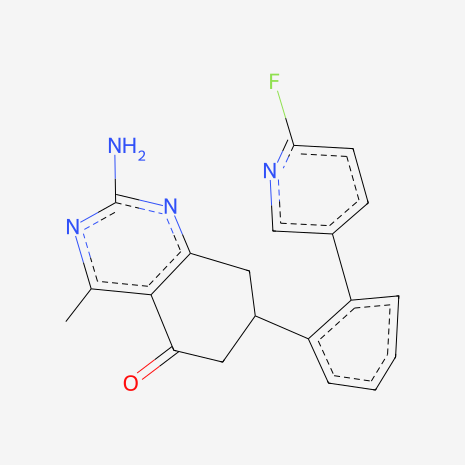 Cc1nc(N)nc2c1C(=O)CC(c1ccccc1-c1ccc(F)nc1)C2